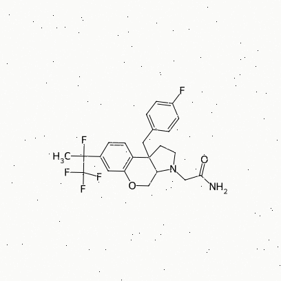 CC(F)(c1ccc2c(c1)OCC1N(CC(N)=O)CCC21Cc1ccc(F)cc1)C(F)(F)F